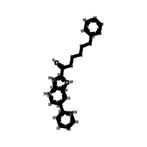 O=C(CCCCCc1ccccc1)c1nc2ncc(-c3ccccn3)cc2o1